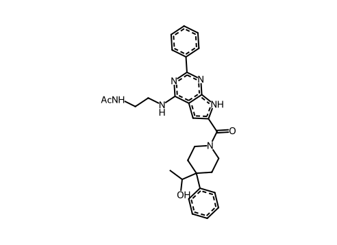 CC(=O)NCCNc1nc(-c2ccccc2)nc2[nH]c(C(=O)N3CCC(c4ccccc4)(C(C)O)CC3)cc12